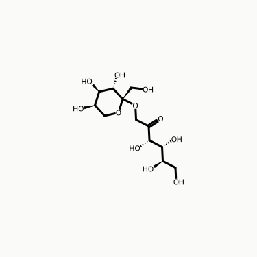 O=C(CO[C@]1(CO)OC[C@@H](O)[C@@H](O)[C@@H]1O)[C@@H](O)[C@H](O)[C@H](O)CO